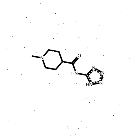 CN1CCC(C(=O)Nc2nnn[nH]2)CC1